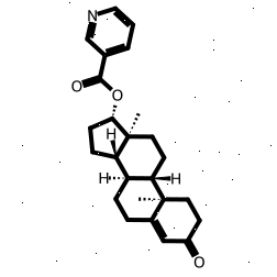 C[C@]12CC[C@H]3[C@@H](CCC4=CC(=O)CC[C@@]43C)[C@@H]1CC[C@@H]2OC(=O)c1cccnc1